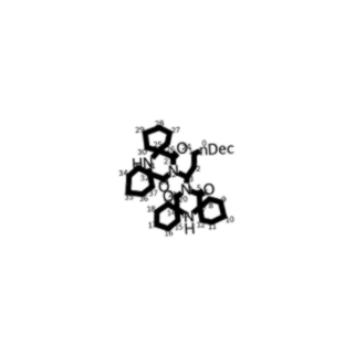 CCCCCCCCCCCCC(N1C(=O)C2(CCCCC2)NC2(CCCCC2)C1=O)N1C(=O)C2(CCCCC2)NC2(CCCCC2)C1=O